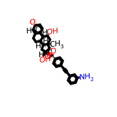 C[C@]12C=CC(=O)C=C1CC[C@@H]1[C@@H]2[C@@H](O)C[C@@]2(C)[C@H]1C[C@H]1O[C@@H](c3ccc(C#Cc4cccc(N)c4)cc3)O[C@]12C(=O)CO